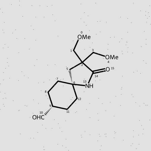 COCC1(COC)C[C@]2(CC[C@@H](C=O)CC2)NC1=O